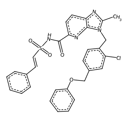 Cc1nc2ccc(C(=O)NS(=O)(=O)C=Cc3ccccc3)nc2n1Cc1ccc(COc2ccccc2)cc1Cl